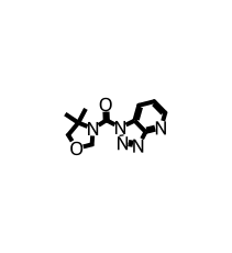 CC1(C)COCN1C(=O)n1nnc2ncccc21